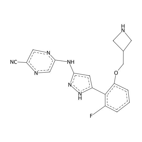 N#Cc1cnc(Nc2cc(-c3c(F)cccc3OCC3CNC3)[nH]n2)cn1